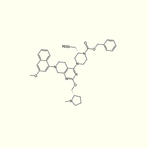 COc1cc(N2CCc3c(nc(OC[C@@H]4CCCN4C)nc3N3CCN(C(=O)OCc4ccccc4)[C@@H](CC#N)C3)C2)c2ccccc2c1